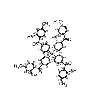 Cc1ccc(C(=O)c2cc[c]([Sn]([c]3ccc(C(=O)c4ccc(C)cc4S)cc3)([c]3ccc(C(=O)c4ccc(C)cc4S)cc3)[c]3ccc(C(=O)c4ccc(C)cc4S)cc3)cc2)c(S)c1